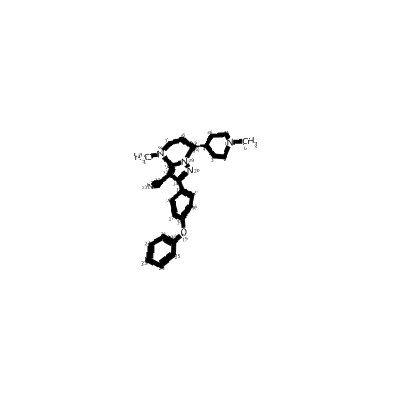 CN1CCC([C@@H]2CCN(C)c3c(C#N)c(-c4ccc(Oc5ccccc5)cc4)nn32)CC1